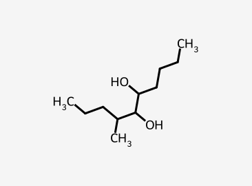 CCCCC(O)C(O)C(C)CCC